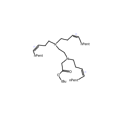 CCCCC/C=C\CCN(CC/C=C\CCCCC)CCN(CC/C=C\CCCCC)CC(=O)OC(C)(C)C